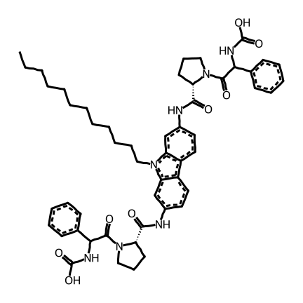 CCCCCCCCCCCCn1c2cc(NC(=O)[C@@H]3CCCN3C(=O)C(NC(=O)O)c3ccccc3)ccc2c2ccc(NC(=O)[C@@H]3CCCN3C(=O)C(NC(=O)O)c3ccccc3)cc21